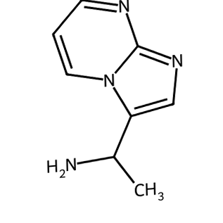 CC(N)c1cnc2ncccn12